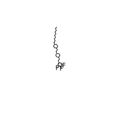 CCCCCCCCCCC1CCC(CCC2CCC(CCc3cc(F)c(F)c(F)c3)CC2)CC1